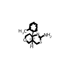 Cc1ccccc1[C@]12CCOC[C@H]1CSC(N)=N2